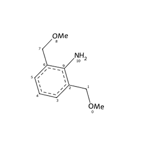 COCc1cccc(COC)c1N